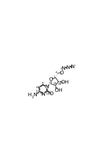 [N-]=[N+]=NOC[C@H]1O[C@@H](n2ccc(N)nc2=O)[C@H](O)[C@@H]1O